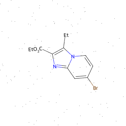 CCOC(=O)c1nc2cc(Br)ccn2c1CC